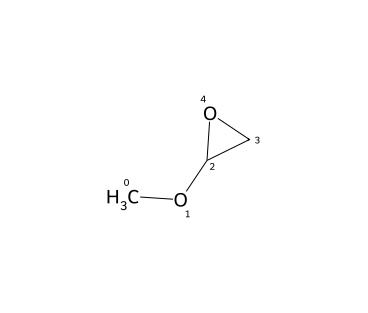 COC1CO1